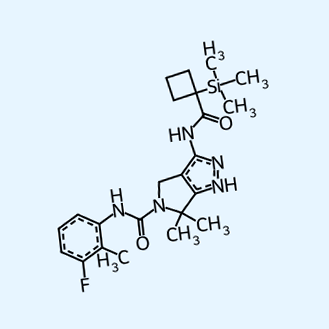 Cc1c(F)cccc1NC(=O)N1Cc2c(NC(=O)C3([Si](C)(C)C)CCC3)n[nH]c2C1(C)C